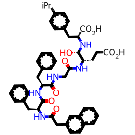 CC(C)c1ccc(C[C@H](N[C@@H](O)[C@H](CCC(=O)O)NC(=O)CNC(=O)[C@H](Cc2ccccc2)NC(=O)[C@H](Cc2ccccc2)NC(=O)Cc2ccc3ccccc3c2)C(=O)O)cc1